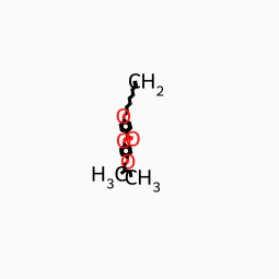 C=CCCCCCCOc1ccc(C(=O)Oc2ccc(OCC(C)CC)cc2)cc1